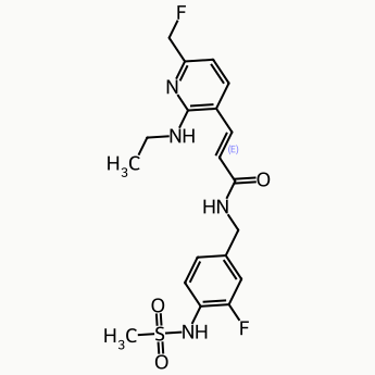 CCNc1nc(CF)ccc1/C=C/C(=O)NCc1ccc(NS(C)(=O)=O)c(F)c1